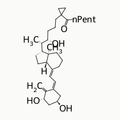 C=C1/C(=C\C=C2/CCC[C@]3(C)[C@@H]([C@H](C)[C@@H](O)CCCC4(C(=O)CCCCC)CC4)CC[C@@H]23)C[C@@H](O)C[C@@H]1O